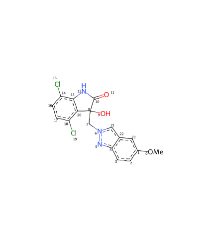 COc1ccc2nn(CC3(O)C(=O)Nc4c(Cl)ccc(Cl)c43)cc2c1